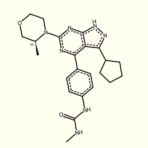 CNC(=O)Nc1ccc(-c2nc(N3CCOC[C@@H]3C)nc3[nH]nc(C4CCCC4)c23)cc1